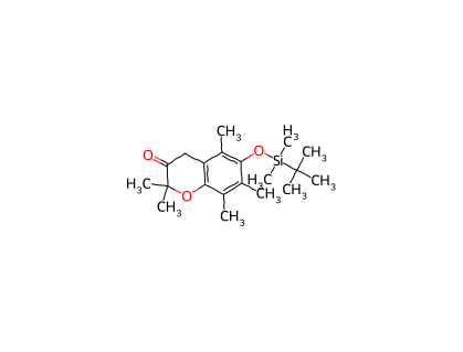 Cc1c(C)c2c(c(C)c1O[Si](C)(C)C(C)(C)C)CC(=O)C(C)(C)O2